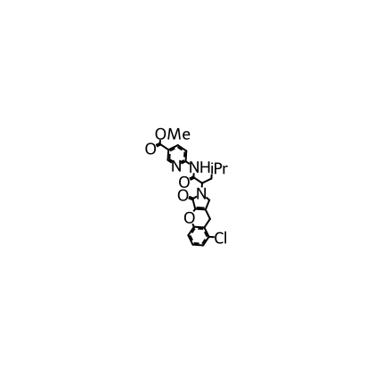 COC(=O)c1ccc(NC(=O)C(CC(C)C)N2CC3=C(Oc4cccc(Cl)c4C3)C2=O)nc1